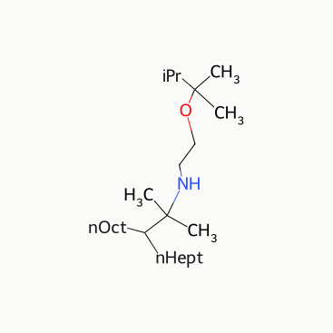 CCCCCCCCC(CCCCCCC)C(C)(C)NCCOC(C)(C)C(C)C